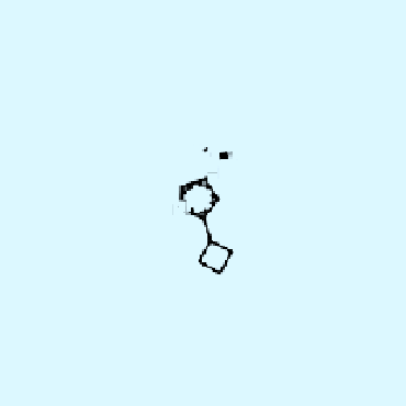 O=[SH](=O)c1c[nH]c(C2CCC2)c1